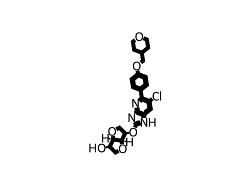 O[C@@H]1CO[C@H]2[C@@H]1OC[C@H]2Oc1nc2nc(-c3ccc(OCC4CCOCC4)cc3)c(Cl)cc2[nH]1